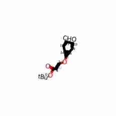 CC(C)(C)OC(=O)/C=C/OC1c2ccc(C=O)cc21